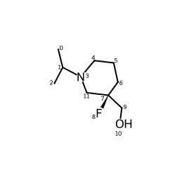 CC(C)N1CCC[C@](F)(CO)C1